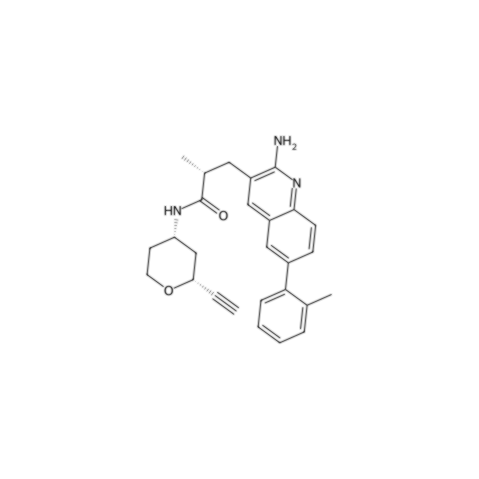 C#C[C@H]1C[C@@H](NC(=O)[C@H](C)Cc2cc3cc(-c4ccccc4C)ccc3nc2N)CCO1